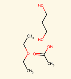 CC(=O)O.CCOCC.OCCCO